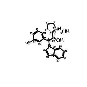 Cl.O[C@H]([C@@H]1CCCN1)[C@H](c1cccc(F)c1)n1ccc2ccccc21